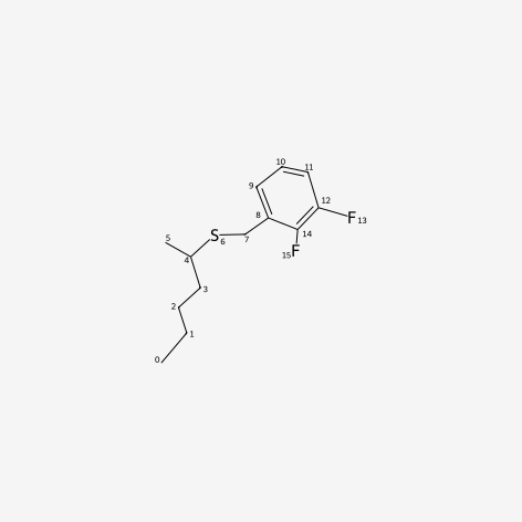 CCCCC(C)SCc1cccc(F)c1F